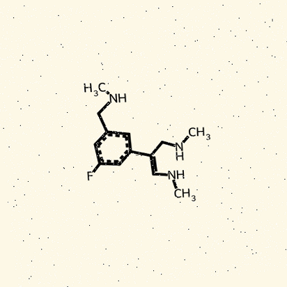 CN/C=C(\CNC)c1cc(F)cc(CNC)c1